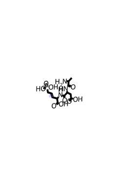 CC(N)C(=O)NC(CC(=O)O)C(=O)NC(/C=C/CP(=O)(O)O)C(=O)O